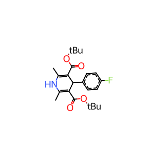 CC1=C(C(=O)OC(C)(C)C)C(c2ccc(F)cc2)C(C(=O)OC(C)(C)C)=C(C)N1